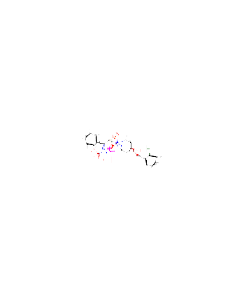 O=C(O)NC(CS(=O)(=O)N1CCC(OCc2ccccc2F)CC1)c1ccccc1